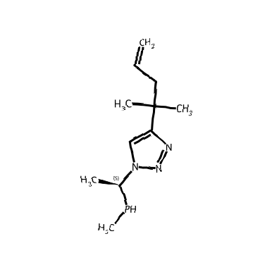 C=CCC(C)(C)c1cn([C@H](C)PC)nn1